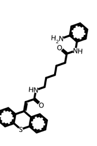 Nc1ccccc1NC(=O)CCCCCNC(=O)C=C1c2ccccc2Sc2ccccc21